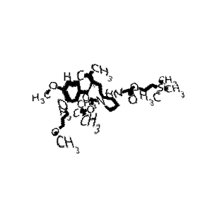 COCCCOc1cc(C[C@H](CC2C(NC(=O)OCC[Si](C)(C)C)CCN2C(=O)OC(C)(C)C)C(C)C)ccc1OC